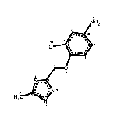 Cc1nnc(COc2ccc([N+](=O)[O-])cc2Cl)s1